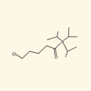 CC(C)[Si](C(=O)CCCCCl)(C(C)C)C(C)C